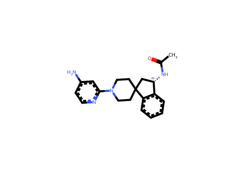 CC(=O)N[C@H]1CC2(CCN(c3cc(N)ccn3)CC2)c2ccccc21